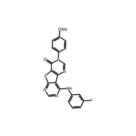 COc1ccc(-n2cnc3c(sc4ncnc(Nc5cccc(F)c5)c43)c2=O)cc1